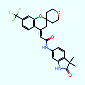 CC1(C)C(=O)Nc2cc(NC(=O)/C=C3\CC4(CCOCC4)Oc4cc(C(F)(F)F)ccc43)ccc21